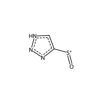 O=[S+]c1c[nH]nn1